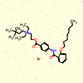 CCCCCCCCOc1ccccc1C(=O)Nc1ccc(C(=O)OCC[N+](CC)(CC)CCC(C)(C)C)cc1.[Br-]